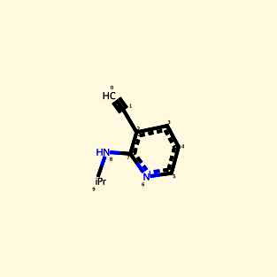 C#Cc1cccnc1NC(C)C